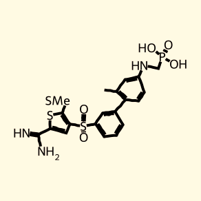 CSc1sc(C(=N)N)cc1S(=O)(=O)c1cccc(-c2ccc(NCP(=O)(O)O)cc2C)c1